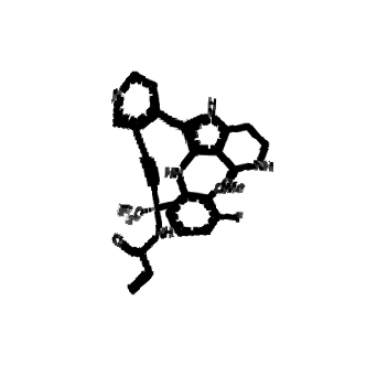 C=CC(=O)N[C@](C)(C#Cc1cnccc1-c1[nH]c2c(c1Nc1cccc(F)c1OC)C(=O)NCC2)C(F)(F)F